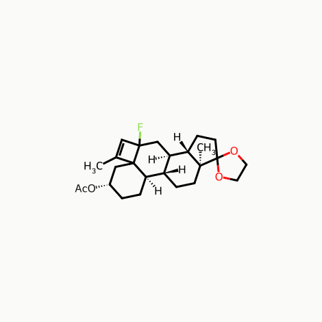 CC(=O)O[C@H]1CC[C@@H]2[C@H]3CC[C@@]4(C)[C@@H](CCC45OCCO5)[C@@H]3CC3(F)C=C(C)C23C1